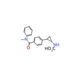 CN(C(=O)c1ccc(C2CC2NC(=O)O)cc1)c1ccccc1